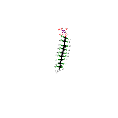 O=P(O)(O)OC(F)(F)C(F)(F)C(F)(F)C(F)(F)C(F)(F)C(F)(F)C(F)(F)C(F)(F)C(F)(F)C(F)(F)F